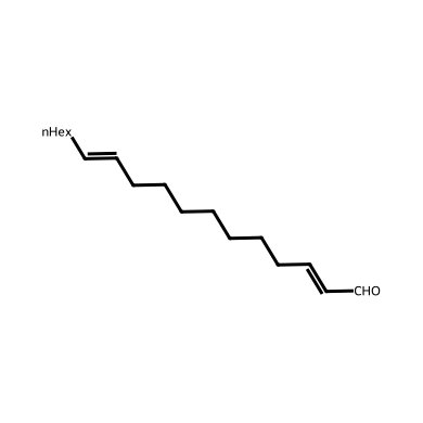 CCCCCCC=CCCCCCCC/C=C/C=O